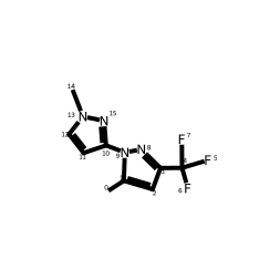 Cc1cc(C(F)(F)F)nn1-c1[c]cn(C)n1